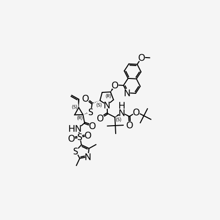 C=C[C@@H]1C[C@]1(SC(=O)[C@@H]1C[C@@H](Oc2nccc3cc(OC)ccc23)CN1C(=O)[C@@H](NC(=O)OC(C)(C)C)C(C)(C)C)C(=O)NS(=O)(=O)c1sc(C)nc1C